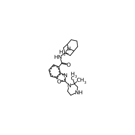 CN1C2CCCC1CC(NC(=O)c1cccc3oc(N4CCNCC4(C)C)nc13)C2